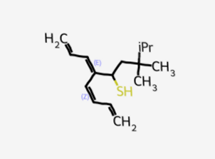 C=C/C=C\C(=C/C=C)C(S)CC(C)(C)C(C)C